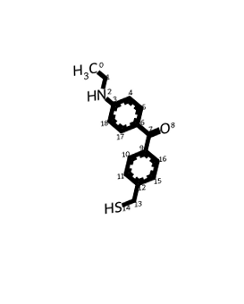 CCNc1ccc(C(=O)c2ccc(CS)cc2)cc1